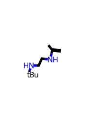 C=C(C)NCCNC(C)(C)C